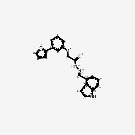 O=C(COc1cccc(-c2ccco2)c1)N/N=C/c1cccc2[nH]ccc12